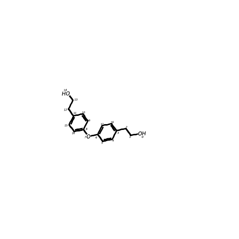 OCCc1ccc(Oc2ccc(CCO)cc2)cc1